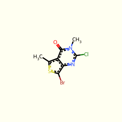 Cc1sc(Br)c2nc(Cl)n(C)c(=O)c12